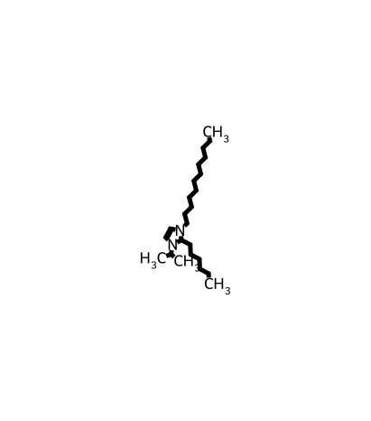 CCCCCCCCCCCCN1C=CN(C(C)C)C1CCCCCC